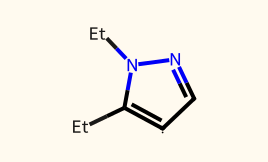 CCc1[c]cnn1CC